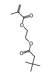 C=C(C)C(=O)OCCOC(=O)CC(C)(C)C